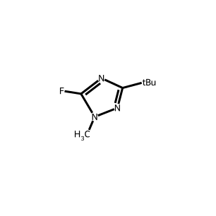 Cn1nc(C(C)(C)C)nc1F